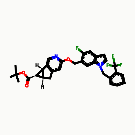 CC(C)(C)OC(=O)[C@H]1[C@@H]2Cc3cc(OCc4cc5c(ccn5Cc5ccccc5C(F)(F)F)cc4F)ncc3[C@@H]21